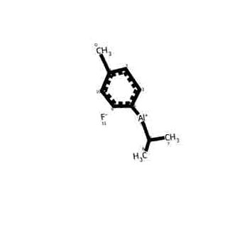 Cc1cc[c]([Al+][CH](C)C)cc1.[F-]